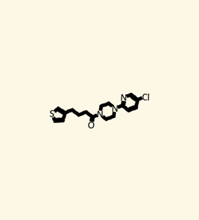 O=C(CCCc1ccsc1)N1CCN(c2ccc(Cl)cn2)CC1